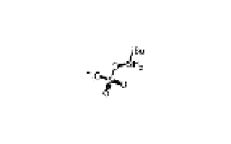 CCC(C)[SiH2]OS(=O)(=O)C(F)(F)F